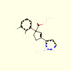 COC(=O)C1(c2cccc(F)c2C)C=C(c2ccnn2C)CC1